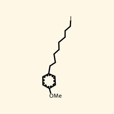 COc1ccc(CCCCCCCCI)cc1